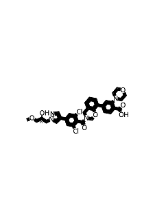 COC[C@H](O)Cn1cc(-c2cc(Cl)c(C(=O)N3COc4c(cccc4-c4ccc(C(=O)O)c(N5CCOCC5)c4)C3)c(Cl)c2)cn1